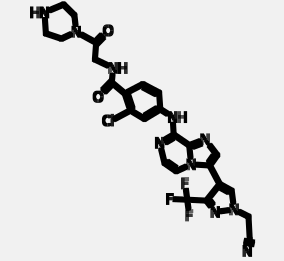 N#CCn1cc(-c2cnc3c(Nc4ccc(C(=O)NCC(=O)N5CCNCC5)c(Cl)c4)nccn23)c(C(F)(F)F)n1